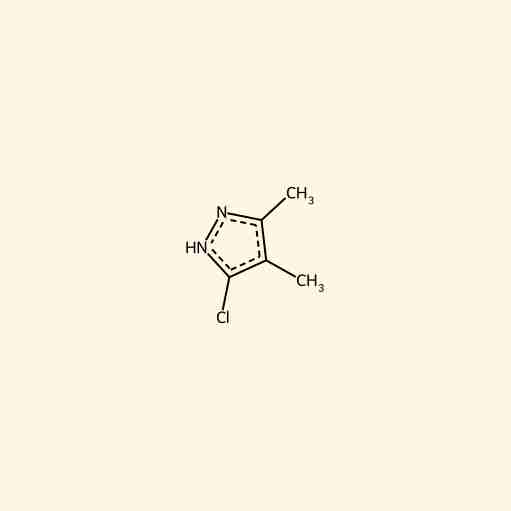 Cc1n[nH]c(Cl)c1C